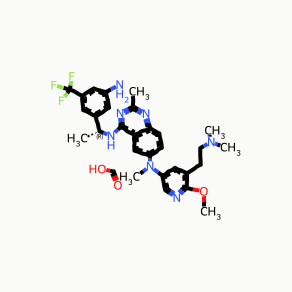 COc1ncc(N(C)c2ccc3nc(C)nc(N[C@H](C)c4cc(N)cc(C(F)(F)F)c4)c3c2)cc1CCN(C)C.O=CO